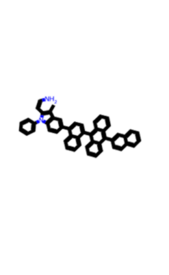 Cc1c(/C=C\N)n(-c2ccccc2)c2ccc(-c3ccc(-c4c5ccccc5c(-c5ccc6ccccc6c5)c5ccccc45)c4ccccc34)cc12